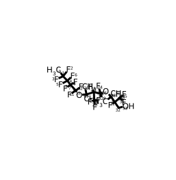 CC(F)(F)C(F)(F)C(F)(F)C(F)(F)OC(C)(C)C(F)(C(F)(F)F)C(F)(F)OC(C)(C)C(F)(CO)C(F)(F)F